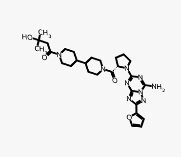 CC(C)(O)CC(=O)N1CCC(C2CCN(C(=O)[C@@H]3CCCN3c3nc(N)n4nc(-c5ccco5)nc4n3)CC2)CC1